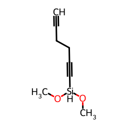 C#CCCC#C[SiH](OC)OC